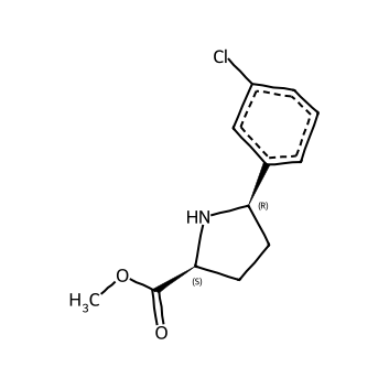 COC(=O)[C@@H]1CC[C@H](c2cccc(Cl)c2)N1